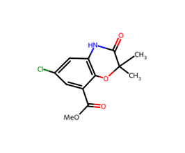 COC(=O)c1cc(Cl)cc2c1OC(C)(C)C(=O)N2